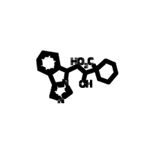 O=C(O)C1(C(O)CC2c3ccccc3-c3cncn32)CCCCC1